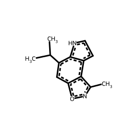 Cc1noc2cc(C(C)C)c3[nH]ccc3c12